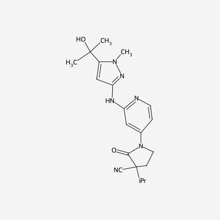 CC(C)C1(C#N)CCN(c2ccnc(Nc3cc(C(C)(C)O)n(C)n3)c2)C1=O